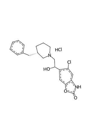 Cl.O=c1[nH]c2cc(Cl)c(C(O)CN3CCC[C@@H](Cc4ccccc4)C3)cc2o1